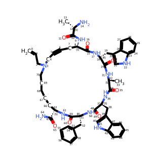 C=CCN1CC#CC[C@H](NC(=O)[C@H](C)N)C(=O)N[C@H](Cc2c[nH]c3ccccc23)C(=O)N[C@@H](C)C(=O)N[C@@H](Cc2c[nH]c3ccccc23)C(=O)N[C@H](Cc2ccccc2)C(=O)N[C@H](C(N)=O)CCCCC1